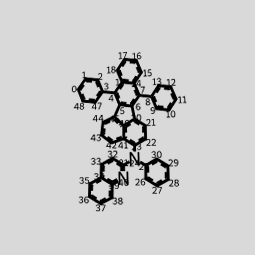 c1ccc(-c2c3c(c(-c4ccccc4)c4ccccc24)-c2ccc(N(c4ccccc4)c4ccc5ccccc5n4)c4cccc-3c24)cc1